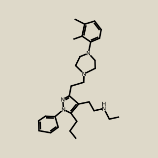 CCCc1c(CCNCC)c(CCN2CCN(c3cccc(C)c3C)CC2)nn1-c1ccccc1